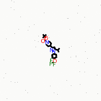 CC(C)c1cc(C2CCN(C(=O)OC(C)(C)C)CC2)nn1-c1ccc(OC(F)(F)F)cc1